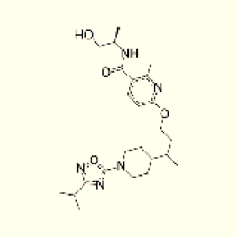 Cc1nc(OCCC(C)C2CCN(c3nc(C(C)C)no3)CC2)ccc1C(=O)N[C@H](C)CO